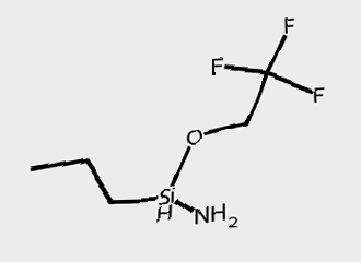 CCC[SiH](N)OCC(F)(F)F